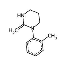 C=C1NCCCN1c1ccccc1C